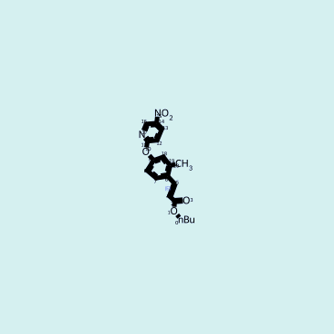 CCCCOC(=O)/C=C/c1ccc(Oc2ccc([N+](=O)[O-])cn2)cc1C